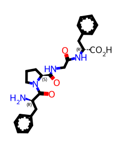 N[C@H](Cc1ccccc1)C(=O)N1CCC[C@H]1C(=O)NCC(=O)N[C@H](Cc1ccccc1)C(=O)O